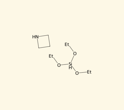 C1CNC1.CCO[SiH](OCC)OCC